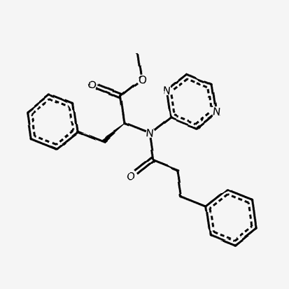 COC(=O)[C@H](Cc1ccccc1)N(C(=O)CCc1ccccc1)c1cnccn1